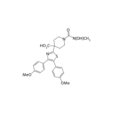 COc1ccc(-c2nc(C3(C(=O)O)CCN(C(=O)N(C)O)CC3)sc2-c2ccc(OC)cc2)cc1